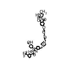 C=C1CCC(N2C(=O)c3ccc(OCCOCCOCCN4CCN(Cc5ccc6c(c5)nc(NC(=O)c5cccc(C(F)(F)F)c5)n6[C@H]5CC[C@@H](CO)CC5)CC4)cc3C2=O)C(=O)N1